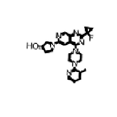 Cc1cccnc1N1CCN(c2nc(C3(F)CC3)nc3cnc(N4CC[C@H](O)C4)cc23)CC1